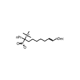 CCCCCCCCCCC=CCCCCCC(CCC)(P(=O)=O)[N+](C)(C)C